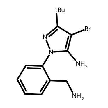 CC(C)(C)c1nn(-c2ccccc2CN)c(N)c1Br